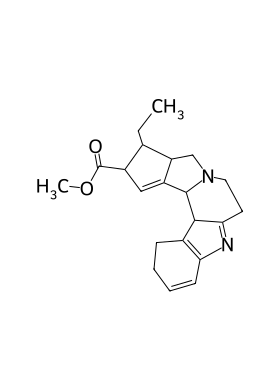 CCC1C(C(=O)OC)C=C2C1CN1CCC3=NC4=C(CCC=C4)C3C21